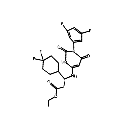 CCOC(=O)C[C@@H](Nc1cc(=O)n(-c2cc(F)cc(F)c2)c(=O)[nH]1)C1CCC(F)(F)CC1